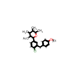 CCOc1ccc(Cc2cc(C3OC(C)C(C)C(C)C3OC(C)=O)ccc2Cl)cc1